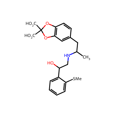 CSc1ccccc1C(O)CNC(C)Cc1ccc2c(c1)OC(C(=O)O)(C(=O)O)O2